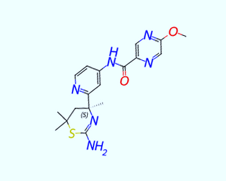 COc1cnc(C(=O)Nc2ccnc([C@]3(C)CC(C)(C)SC(N)=N3)c2)cn1